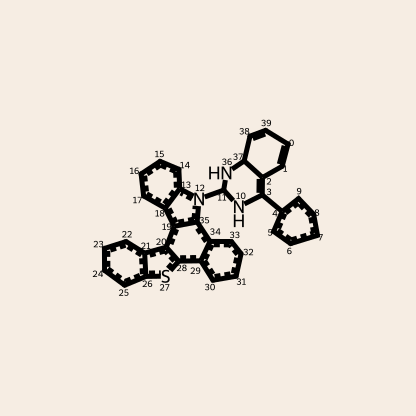 C1=CC2=C(c3ccccc3)NC(n3c4ccccc4c4c5c6ccccc6sc5c5ccccc5c43)NC2C=C1